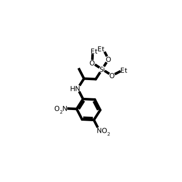 CCO[Si](CC(C)Nc1ccc([N+](=O)[O-])cc1[N+](=O)[O-])(OCC)OCC